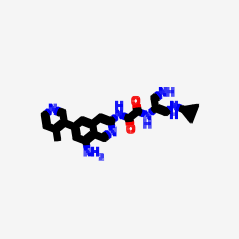 Cc1ccncc1-c1cc(N)c2cnc(NC(=O)C(=O)N/C(C=N)=C/NC3CC3)cc2c1